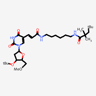 COCC1OC(n2cc(/C=C/C(=O)NCCCCCCNC(=O)C(C)(C)CC(C)(C)C)c(=O)[nH]c2=O)CC1OC(C)(C)C